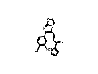 O=C(/C=C/c1c(-c2ccc(Cl)c([N+](=O)[O-])c2)nc2sccn12)c1ccco1